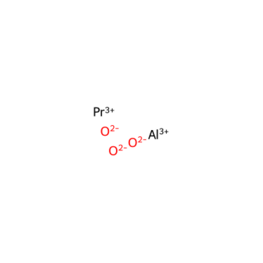 [Al+3].[O-2].[O-2].[O-2].[Pr+3]